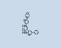 O=C1Nc2ncc(-c3ccccc3)cc2C1=CNc1ccc(N2CCOCC2)nc1